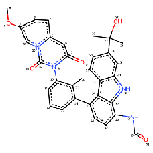 COc1ccc2cc(=O)n(-c3cccc(-c4ccc(NC=O)c5[nH]c6cc(C(C)(C)O)ccc6c45)c3C)c(=O)n2c1